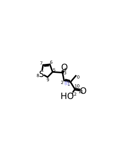 C/C(=C\C(=O)C1C=CSC1)C(=O)O